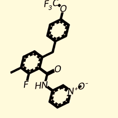 Cc1ccc(Cc2ccc(OC(F)(F)F)cc2)c(C(=O)Nc2ccc[n+]([O-])c2)c1F